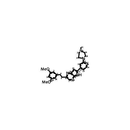 COc1cc(CCc2cnc3[nH]c(-c4ccnc(N5CCN(C)CC5)c4)cc3n2)cc(OC)c1